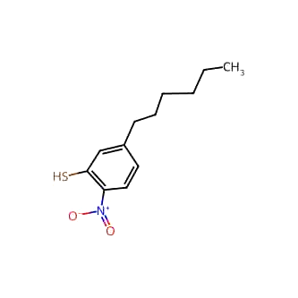 CCCCCCc1ccc([N+](=O)[O-])c(S)c1